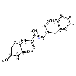 C=NN(/C=C(\C)C(=O)NC1CCC(=O)NC1=O)Cc1ccccc1